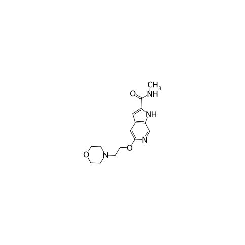 CNC(=O)c1cc2cc(OCCN3CCOCC3)ncc2[nH]1